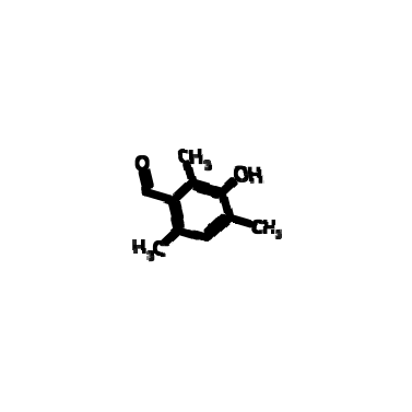 Cc1cc(C)c(C=O)c(C)c1O